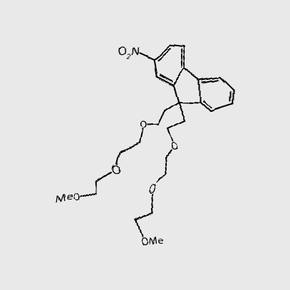 COCCOCCOCCC1(CCOCCOCCOC)c2ccccc2-c2ccc([N+](=O)[O-])cc21